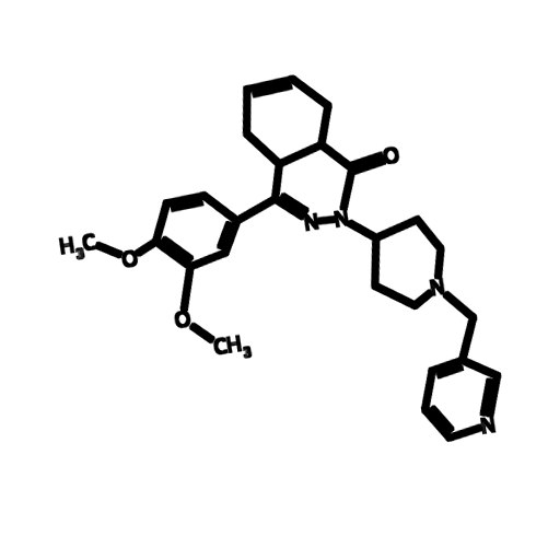 COc1ccc(C2=NN(C3CCN(Cc4cccnc4)CC3)C(=O)C3CC=CCC23)cc1OC